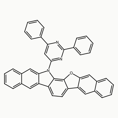 c1ccc(-c2cc(-n3c4cc5ccccc5cc4c4ccc5c6cc7ccccc7cc6oc5c43)nc(-c3ccccc3)n2)cc1